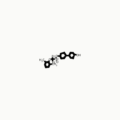 CCC(CC)(Oc1c(C)cccc1C)[PH](=O)Oc1ccc(-c2ccc(O)cc2)cc1